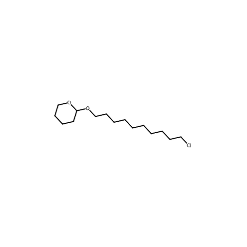 ClCCCCCCCCCCOC1CCCCO1